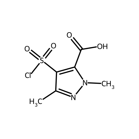 Cc1nn(C)c(C(=O)O)c1S(=O)(=O)Cl